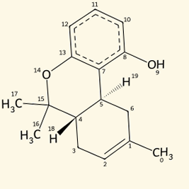 CC1=CC[C@H]2[C@H](C1)c1c(O)cccc1OC2(C)C